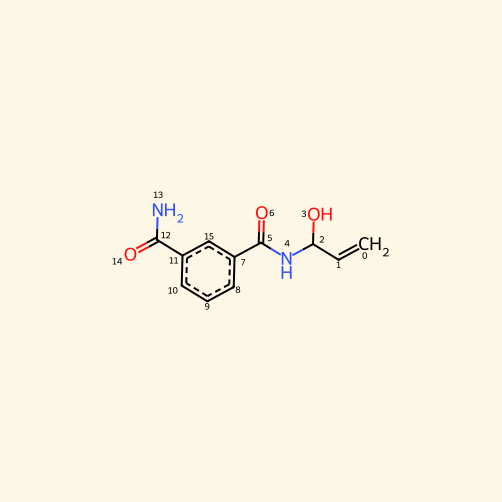 C=CC(O)NC(=O)c1cccc(C(N)=O)c1